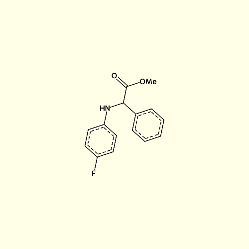 COC(=O)C(Nc1ccc(F)cc1)c1ccccc1